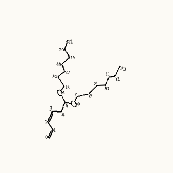 C=C/C=C\CC(OCCCCCCC)OCCCCCCC